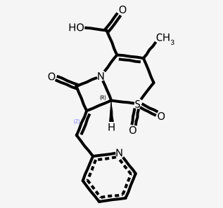 CC1=C(C(=O)O)N2C(=O)/C(=C/c3ccccn3)[C@H]2S(=O)(=O)C1